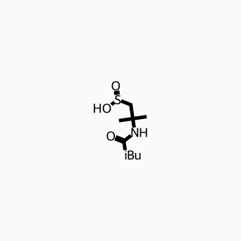 CCC(C)C(=O)NC(C)(C)CS(=O)O